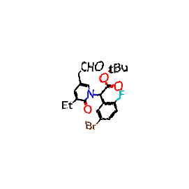 CCc1cc(CC=O)cn(C(C(=O)OC(C)(C)C)c2cc(Br)ccc2F)c1=O